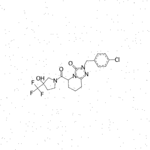 O=C(C1CCCc2nn(Cc3ccc(Cl)cc3)c(=O)n21)N1CCC(O)(C(F)(F)F)C1